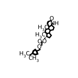 CC(C)c1ccc(COCC(=O)OC[C@H]2CCC3C4CCC5NC(=O)C=C[C@]5(C)C4CC[C@@]32C)cc1